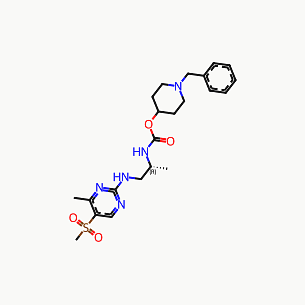 Cc1nc(NC[C@@H](C)NC(=O)OC2CCN(Cc3ccccc3)CC2)ncc1S(C)(=O)=O